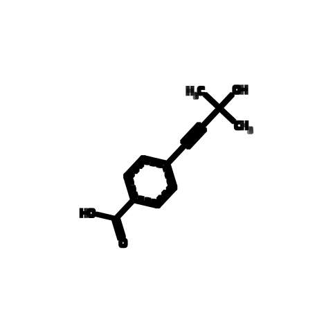 CC(C)(O)C#Cc1ccc(C(=O)O)cc1